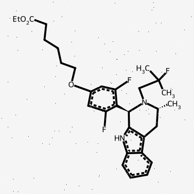 CCOC(=O)CCCCCOc1cc(F)c([C@@H]2c3[nH]c4ccccc4c3C[C@@H](C)N2CC(C)(C)F)c(F)c1